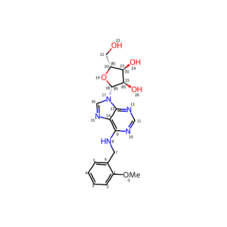 COc1ccccc1CNc1ncnc2c1ncn2[C@@H]1O[C@H](CO)[C@@H](O)[C@H]1O